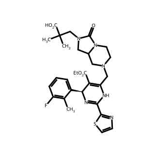 CCOC(=O)C1=C(CN2CCN3C(=O)N(CC(C)(C)C(=O)O)CC3C2)NC(c2nccs2)=N[C@H]1c1cccc(F)c1C